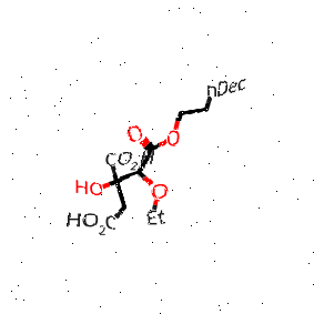 CCCCCCCCCCCCOC(=O)C(OCC)C(O)(CC(=O)O)C(=O)O